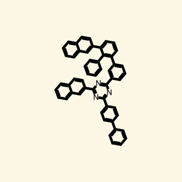 c1ccc(-c2ccc(-c3nc(-c4cccc(-c5cccc(-c6ccc7ccccc7c6)c5-c5ccccc5)c4)nc(-c4ccc5ccccc5c4)n3)cc2)cc1